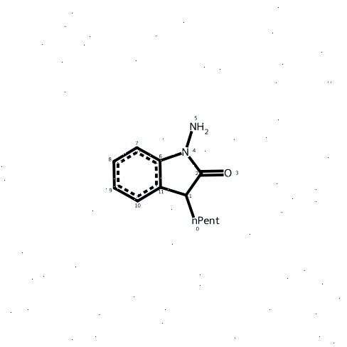 CCCCCC1C(=O)N(N)c2ccccc21